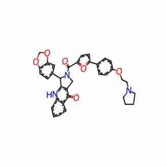 O=C(c1ccc(-c2ccc(OCCN3CCCC3)cc2)o1)N1Cc2c([nH]c3ccccc3c2=O)C1c1ccc2c(c1)OCO2